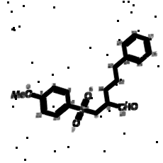 COc1ccc(S(=O)(=O)CC(C=O)CCCc2ccccc2)cc1